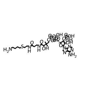 CC(C)(COP(=O)(O)OP(=O)(O)OC[C@H]1O[C@@H](n2cnc3c(N)ncnc32)[C@H](O)[C@@H]1OP(=O)(O)O)C(O)C(=O)NCCC(=O)NCCSCCCCN